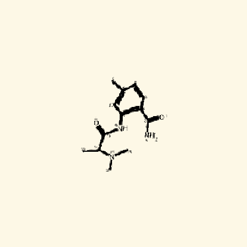 Cc1ccc(C(N)=O)c(NC(=O)C(C)N(C)C)c1